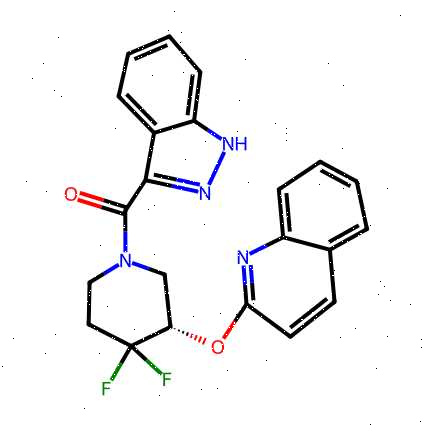 O=C(c1n[nH]c2ccccc12)N1CCC(F)(F)[C@@H](Oc2ccc3ccccc3n2)C1